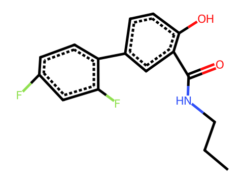 CCCNC(=O)c1cc(-c2ccc(F)cc2F)ccc1O